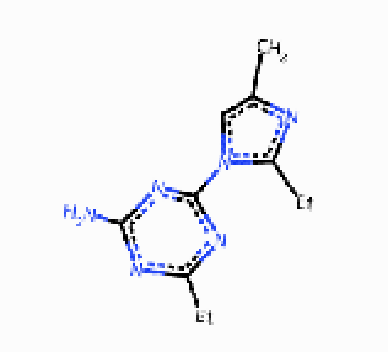 CCc1nc(N)nc(-n2cc(C)nc2CC)n1